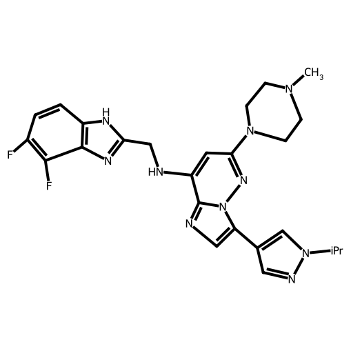 CC(C)n1cc(-c2cnc3c(NCc4nc5c(F)c(F)ccc5[nH]4)cc(N4CCN(C)CC4)nn23)cn1